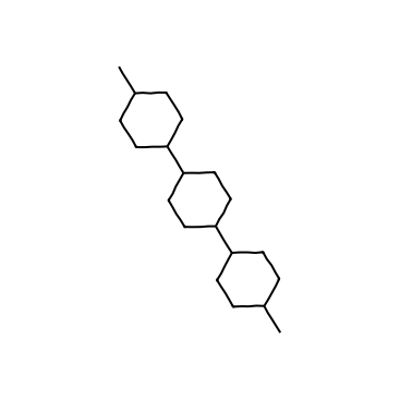 CC1CCC(C2CCC(C3CCC(C)CC3)CC2)CC1